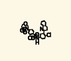 O=S(=O)(Nc1ccc(Cl)c(-c2ccc3ccccc3n2)c1)c1ccc(N2COCCS2(=O)=O)cc1Cl